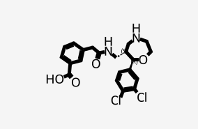 O=C(Cc1cccc(C(=O)O)c1)NC[C@@H]1CNCCO[C@H]1c1ccc(Cl)c(Cl)c1